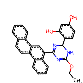 CCOC1=NC(c2cc3c4ccccc4ccc3c3ccccc23)=NC(c2ccc(O)cc2O)N1